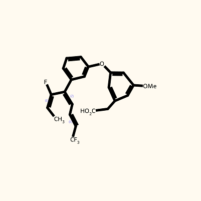 C\C=C(F)/C(=C\C=C\C(F)(F)F)c1cccc(Oc2cc(CC(=O)O)cc(OC)c2)c1